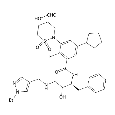 CCn1cc(CNC[C@@H](O)[C@H](Cc2ccccc2)NC(=O)c2cc(C3CCCC3)cc(N3CCCCS3(=O)=O)c2F)cn1.O=CO